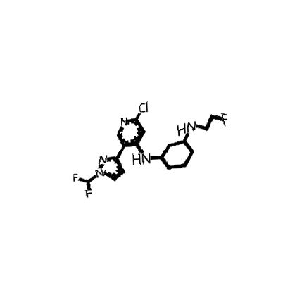 FCCNC1CCCC(Nc2cc(Cl)ncc2-c2ccn(C(F)F)n2)C1